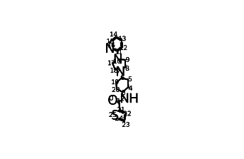 O=C(NC1CCC(N2CCN(c3ccccn3)CC2)CC1)c1cccs1